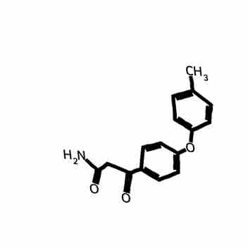 Cc1ccc(Oc2ccc(C(=O)CC(N)=O)cc2)cc1